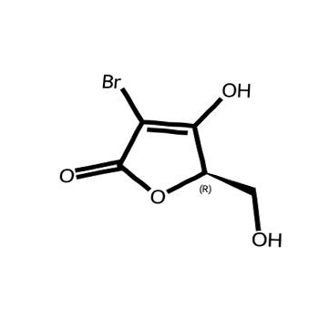 O=C1O[C@H](CO)C(O)=C1Br